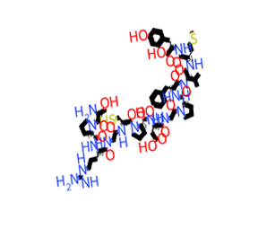 CSCC[C@H](NC(=O)[C@@H](NC(=O)[C@H](Cc1ccc(O)cc1)NC(=O)[C@@H]1CCCN1C(=O)CNC(=O)[C@H](CC(=O)O)NC(=O)[C@@H]1CCCN1C(=O)[C@H](CS)NC(=O)CNC(=O)[C@H](CCCNC(=N)N)NC(=O)[C@@H]1CCCN1C(=O)[C@@H](N)CO)C(C)C)C(=O)N[C@@H](Cc1ccc(O)cc1)C(=O)O